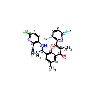 Cc1cc(C(C)Nc2ccc(Cl)nc2C#N)c2oc(-c3nc(F)ccc3F)c(C)c(=O)c2c1